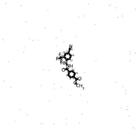 COC(=O)c1ccc(C(=O)NNc2ccc(C#N)cc2C(F)(F)F)cc1